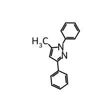 Cc1cc(-c2ccccc2)nn1-c1ccccc1